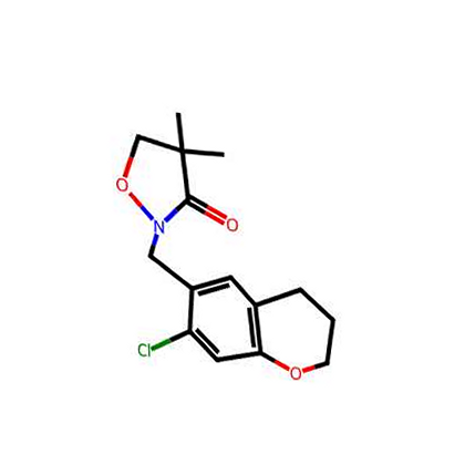 CC1(C)CON(Cc2cc3c(cc2Cl)OCCC3)C1=O